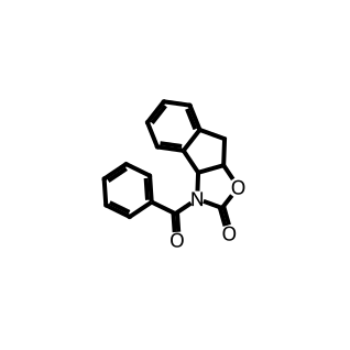 O=C1OC2Cc3ccccc3C2N1C(=O)c1ccccc1